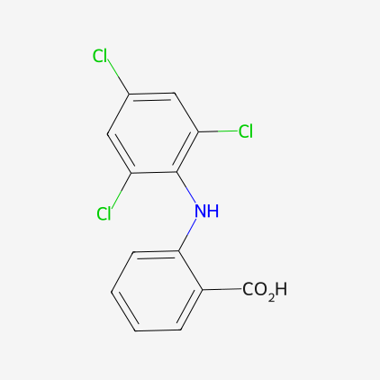 O=C(O)c1ccccc1Nc1c(Cl)cc(Cl)cc1Cl